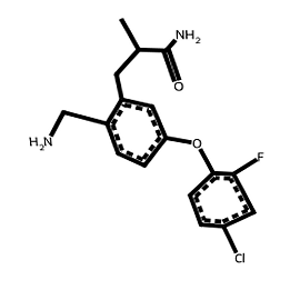 CC(Cc1cc(Oc2ccc(Cl)cc2F)ccc1CN)C(N)=O